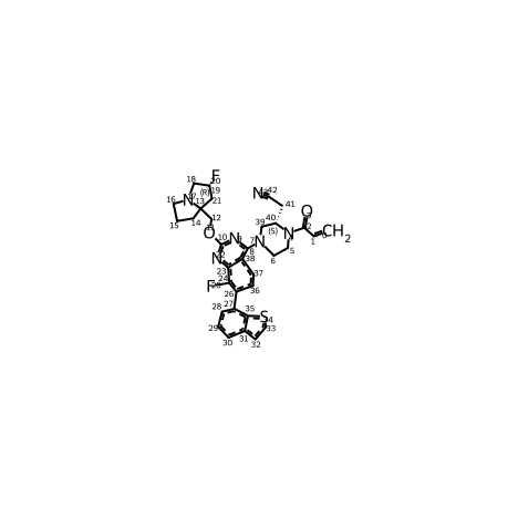 C=CC(=O)N1CCN(c2nc(OCC34CCCN3C[C@H](F)C4)nc3c(F)c(-c4cccc5ccsc45)ccc23)C[C@@H]1CC#N